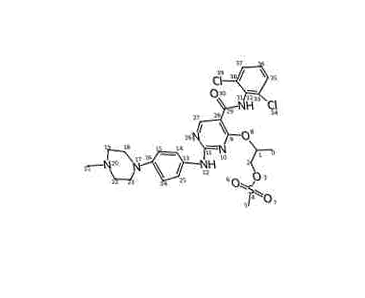 CC(COS(C)(=O)=O)Oc1nc(Nc2ccc(N3CCN(C)CC3)cc2)ncc1C(=O)Nc1c(Cl)cccc1Cl